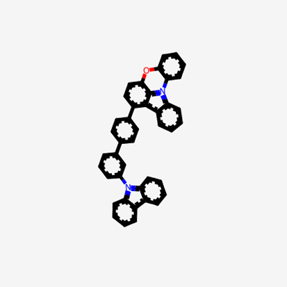 c1cc(-c2ccc(-c3ccc4c5c3c3ccccc3n5-c3ccccc3O4)cc2)cc(-n2c3ccccc3c3ccccc32)c1